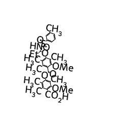 CCC(NS(=O)(=O)c1cccc(C)c1)Oc1c(C)c(C)c(C(=O)Oc2c(C)c(C)c(C(=O)O)c(OC)c2C)c(OC)c1C